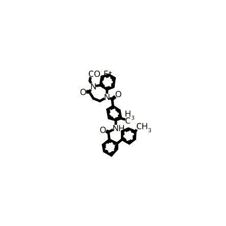 CCOC(=O)CN1C(=O)CCN(C(=O)c2ccc(NC(=O)c3ccccc3-c3ccc(C)cc3)c(C)c2)c2ccccc21